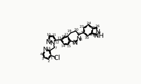 Clc1cccnc1Cn1nccc1-c1ccc2c(c1)CCC(c1ccc3cn[nH]c3c1)N=N2